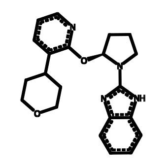 c1cnc(O[C@H]2CCCN2c2nc3ccccc3[nH]2)c(C2CCOCC2)c1